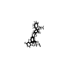 Cc1cc(C2CCCCC2)c(O)c(C)c1Cc1c(C)cc(C2CCCCC2)c(O)c1C